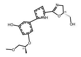 COC[C@H](C)Oc1cc(O)cc(-c2ccc(C3=NC[C@H](CO)O3)[nH]2)c1